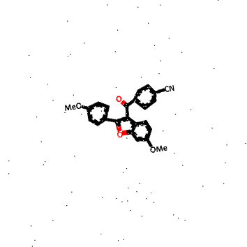 COc1ccc(-c2oc3cc(OC)ccc3c2C(=O)c2ccc(C#N)cc2)cc1